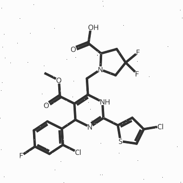 COC(=O)C1=C(CN2CC(F)(F)CC2C(=O)O)NC(c2cc(Cl)cs2)=NC1c1ccc(F)cc1Cl